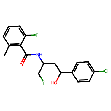 Cc1cccc(F)c1C(=O)NC(CF)CC(O)c1ccc(Cl)cc1